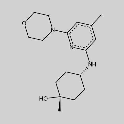 Cc1cc(N[C@H]2CC[C@@](C)(O)CC2)nc(N2CCOCC2)c1